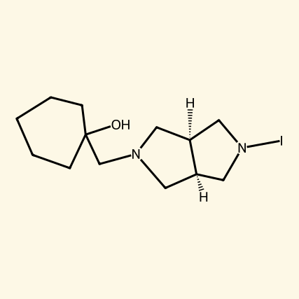 OC1(CN2C[C@H]3CN(I)C[C@H]3C2)CCCCC1